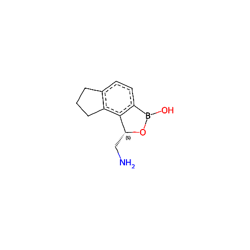 NC[C@H]1OB(O)c2ccc3c(c21)CCC3